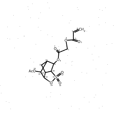 C=CC(=O)OCC(=O)OC1C2CC3C(OS(=O)(=O)C31)C2OC(C)=O